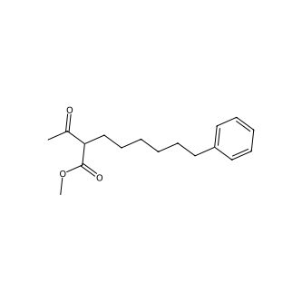 COC(=O)C(CCCCCCc1ccccc1)C(C)=O